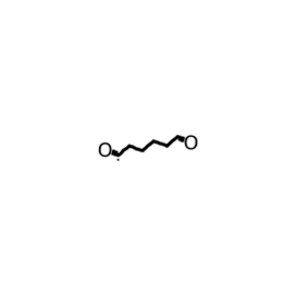 O=[C]CCCCC=O